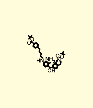 Cc1c(C(O)c2ccc3c(c2)CN(C(=O)OC(C)(C)C)CC3)ccc(NCCCCCc2ccc(C(=O)OC(C)(C)C)cc2)c1N